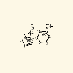 O[C@@H]1CCCC([C@]23C=CC[N@]2C3F)C1